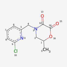 CC1CN(Cc2cccc(Cl)n2)C(=O)C(=O)O1